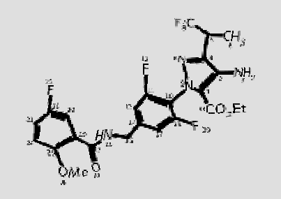 CCOC(=O)c1c(N)c(C(C)C(F)(F)F)nn1-c1c(F)cc(CNC(=O)c2cc(F)ccc2OC)cc1F